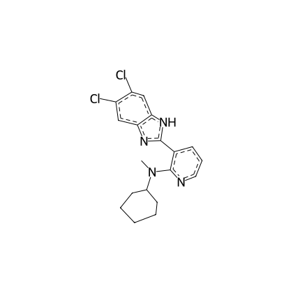 CN(c1ncccc1-c1nc2cc(Cl)c(Cl)cc2[nH]1)C1CCCCC1